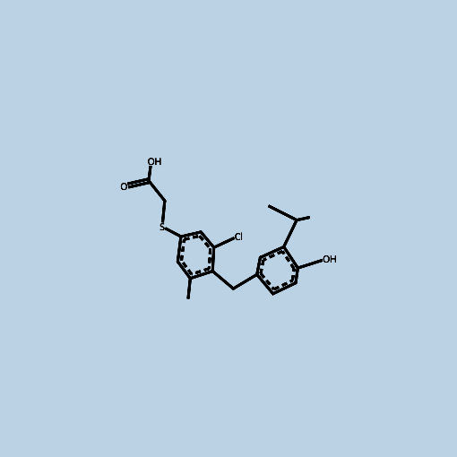 Cc1cc(SCC(=O)O)cc(Cl)c1Cc1ccc(O)c(C(C)C)c1